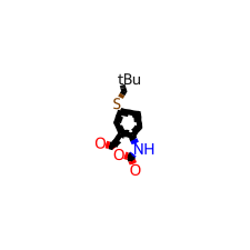 CC(C)(C)CSc1ccc2[nH]c(=O)oc(=O)c2c1